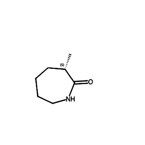 C[C@H]1CCCCNC1=O